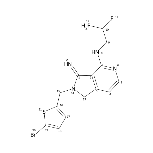 N=C1c2c(ccnc2NCC(F)P)CN1Cc1ccc(Br)s1